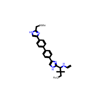 C=CNC(c1nc(-c2ccc(-c3ccc(-c4c[nH]c(CNC)n4)cc3)cc2)c[nH]1)C(C)(C)COC(C)=O